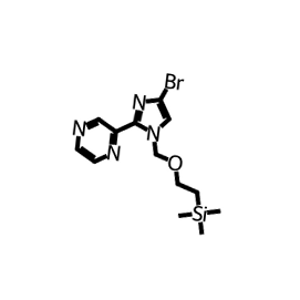 C[Si](C)(C)CCOCn1cc(Br)nc1-c1cnccn1